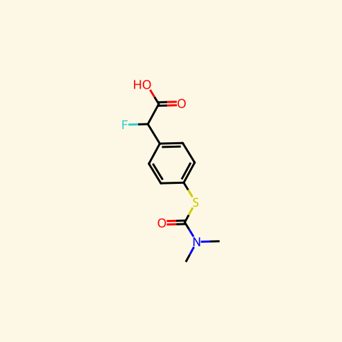 CN(C)C(=O)Sc1ccc(C(F)C(=O)O)cc1